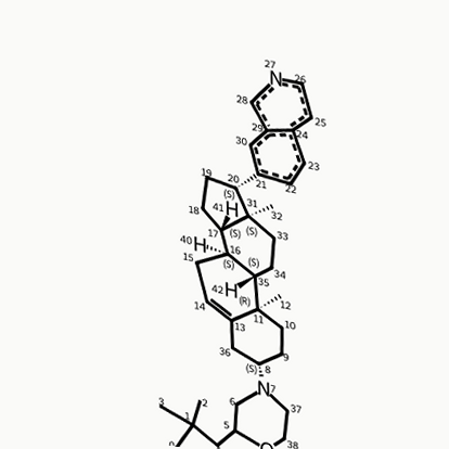 CC(C)(C)CC1CN([C@H]2CC[C@@]3(C)C(=CC[C@H]4[C@@H]5CC[C@H](c6ccc7ccncc7c6)[C@@]5(C)CC[C@@H]43)C2)CCO1